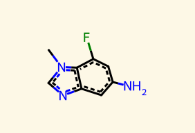 Cn1cnc2cc(N)cc(F)c21